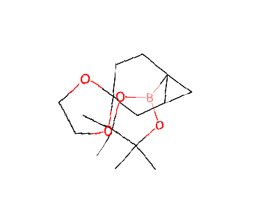 CC1(C)OB(C23CCC4(CC2C3)OCCO4)OC1(C)C